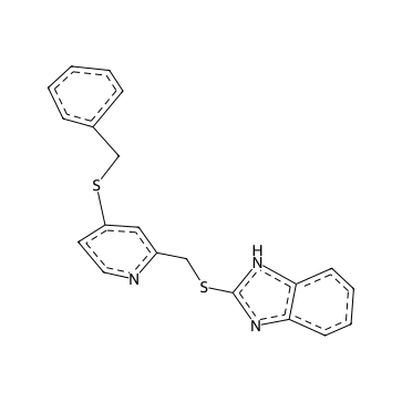 c1ccc(CSc2ccnc(CSc3nc4ccccc4[nH]3)c2)cc1